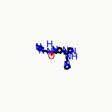 CN1CCN(CCCNC(=O)c2cc3cc(-c4cc(NCCCN5CCCCC5)c5cnccc5n4)ccc3n2C)CC1